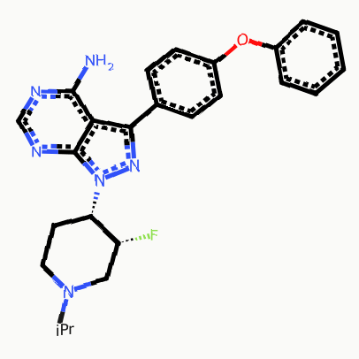 CC(C)N1CC[C@H](n2nc(-c3ccc(Oc4ccccc4)cc3)c3c(N)ncnc32)[C@H](F)C1